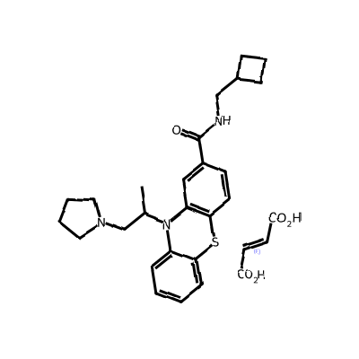 CC(CN1CCCC1)N1c2ccccc2Sc2ccc(C(=O)NCC3CCC3)cc21.O=C(O)/C=C/C(=O)O